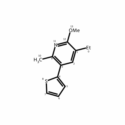 CCc1cc(-c2cccs2)c(C)nc1OC